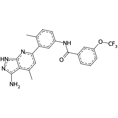 Cc1ccc(NC(=O)c2cccc(OC(F)(F)F)c2)cc1-c1cc(C)c2c(N)n[nH]c2n1